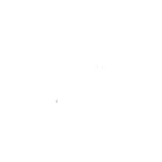 CC(C)c1coc(C(=O)C=O)c1